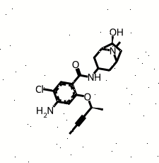 CC#C[C@H](C)Oc1cc(N)c(Cl)cc1C(=O)NC1CC2C[C@H](O)C(C1)N2C